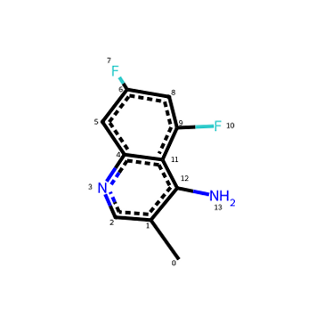 Cc1cnc2cc(F)cc(F)c2c1N